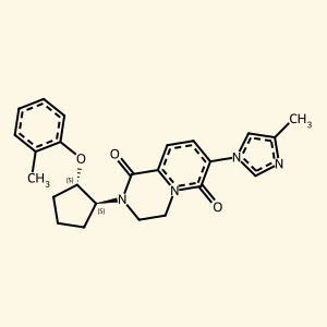 Cc1cn(-c2ccc3n(c2=O)CCN([C@H]2CCC[C@@H]2Oc2ccccc2C)C3=O)cn1